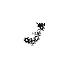 Cc1cc2c(OCC(O)CN3CCC(N4CCN(Cc5ccccc5)C4=O)CC3)cccc2[nH]1